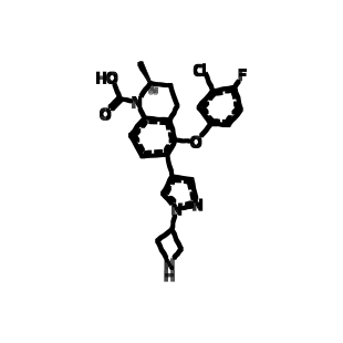 C[C@H]1CCc2c(ccc(-c3cnn(C4CNC4)c3)c2Oc2ccc(F)c(Cl)c2)N1C(=O)O